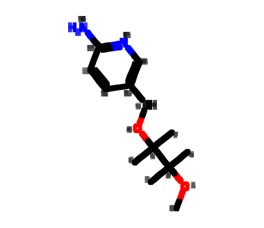 COC(C)(C)C(C)(C)OBc1ccc(N)nc1